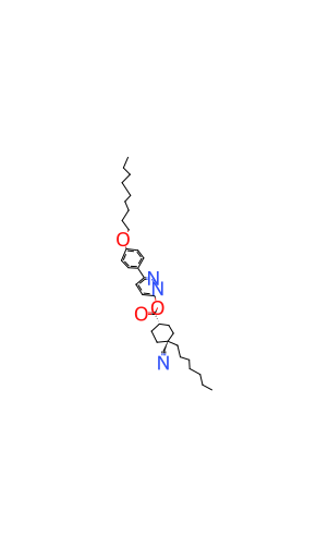 CCCCCCCCCOc1ccc(-c2ccc(OC(=O)[C@H]3CC[C@@](C#N)(CCCCCCC)CC3)nn2)cc1